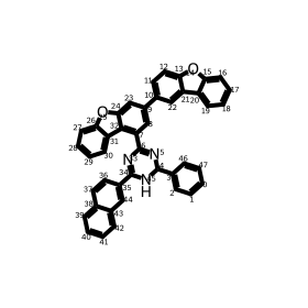 c1ccc(C2N=C(c3cc(-c4ccc5oc6ccccc6c5c4)cc4oc5ccccc5c34)N=C(c3ccc4ccccc4c3)N2)cc1